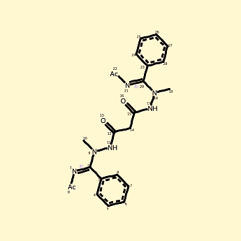 CC(=O)/N=C(\c1ccccc1)N(C)NC(=O)CC(=O)NN(C)/C(=N/C(C)=O)c1ccccc1